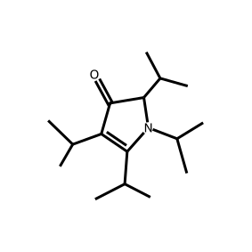 CC(C)C1=C(C(C)C)N(C(C)C)C(C(C)C)C1=O